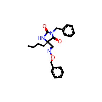 CCCC[C@@]1(C=NOCc2ccccc2)NC(=O)N(Cc2ccccc2)C1=O